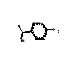 C[C@H](N)c1ccc(N)nc1